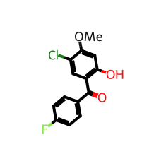 COc1cc(O)c(C(=O)c2ccc(F)cc2)cc1Cl